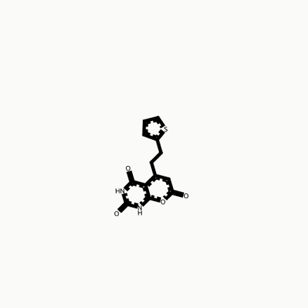 O=c1[nH]c(=O)c2c(CCc3cccs3)cc(=O)oc2[nH]1